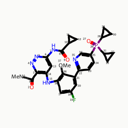 CNC(=O)c1nnc(NC(=O)C2CC2)cc1Nc1cc(F)cc(-c2ccc(P(=O)(C3CC3)C3CC3)cn2)c1OC